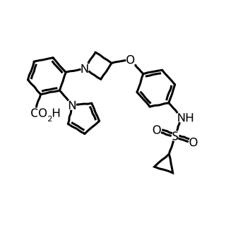 O=C(O)c1cccc(N2CC(Oc3ccc(NS(=O)(=O)C4CC4)cc3)C2)c1-n1cccc1